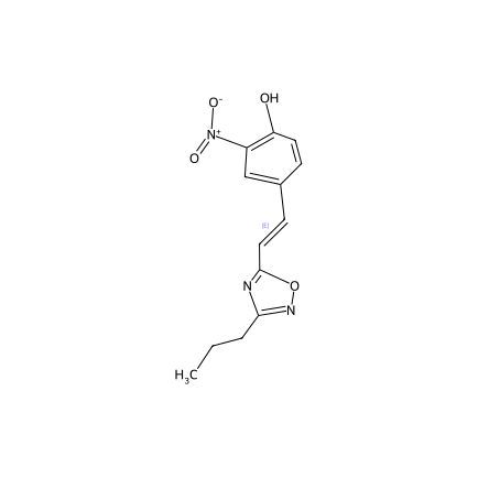 CCCc1noc(/C=C/c2ccc(O)c([N+](=O)[O-])c2)n1